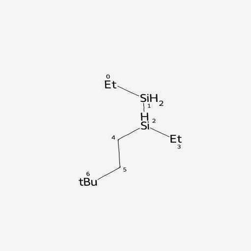 CC[SiH2][SiH](CC)CCC(C)(C)C